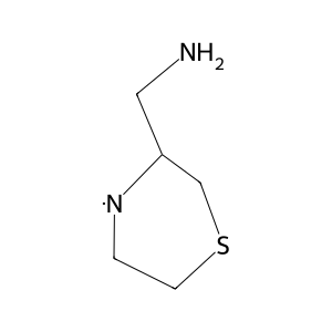 NCC1CSCC[N]1